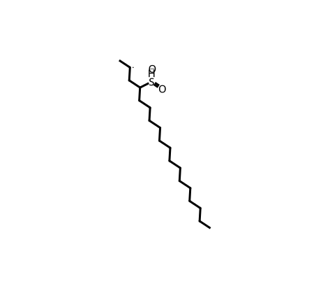 C[CH]CC(CCCCCCCCCCCCCC)[SH](=O)=O